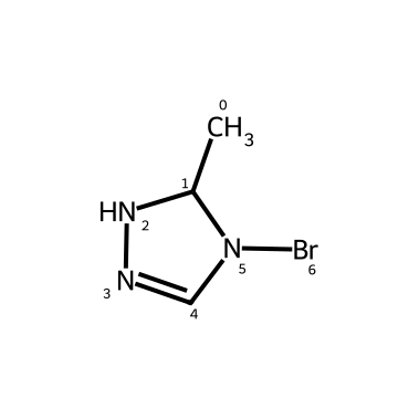 CC1NN=CN1Br